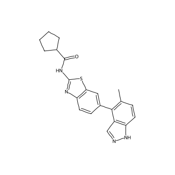 Cc1ccc2[nH]ncc2c1-c1ccc2nc(NC(=O)C3CCCC3)sc2c1